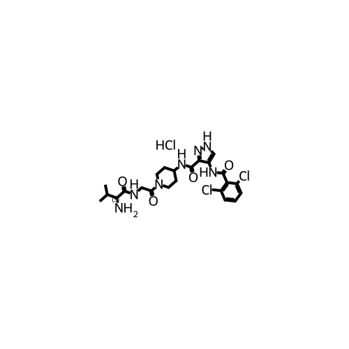 CC(C)[C@H](N)C(=O)NCC(=O)N1CCC(NC(=O)c2n[nH]cc2NC(=O)c2c(Cl)cccc2Cl)CC1.Cl